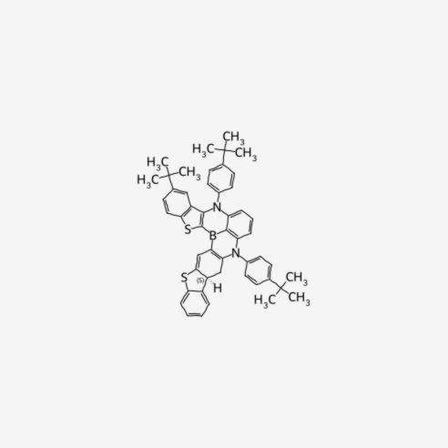 CC(C)(C)c1ccc(N2C3=C(C=C4Sc5ccccc5[C@@H]4C3)B3c4sc5ccc(C(C)(C)C)cc5c4N(c4ccc(C(C)(C)C)cc4)c4cccc2c43)cc1